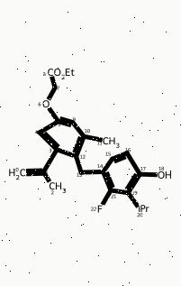 C=C(C)c1cc(OCC(=O)OCC)cc(C)c1Cc1ccc(O)c(C(C)C)c1F